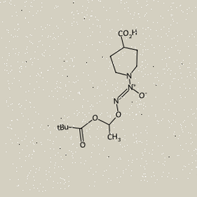 CC(ON=[N+]([O-])N1CCC(C(=O)O)CC1)OC(=O)C(C)(C)C